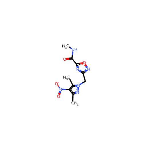 CNC(=O)c1nc(Cn2nc(C)c([N+](=O)[O-])c2C)no1